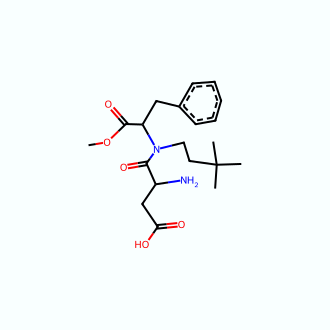 COC(=O)C(Cc1ccccc1)N(CCC(C)(C)C)C(=O)C(N)CC(=O)O